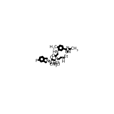 CCNCCN(CC(=O)N(C)N1Cc2ccc(F)cc2C1)C(=O)CNc1cc(-c2nc(C)no2)ccc1C.Cl.Cl